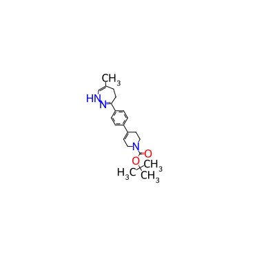 CC1=CNN=C(c2ccc(C3=CCN(C(=O)OC(C)(C)C)CC3)cc2)CC1